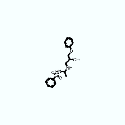 CC(NCC(O)COc1ccccc1)NS(=O)(=O)c1ccccc1